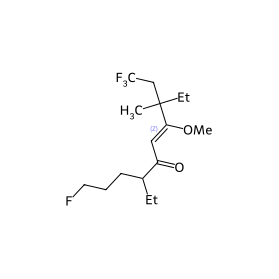 CCC(CCCF)C(=O)/C=C(\OC)C(C)(CC)CC(F)(F)F